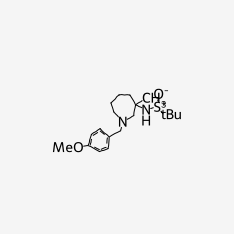 COc1ccc(CN2CCCCC(C)(N[S+]([O-])C(C)(C)C)C2)cc1